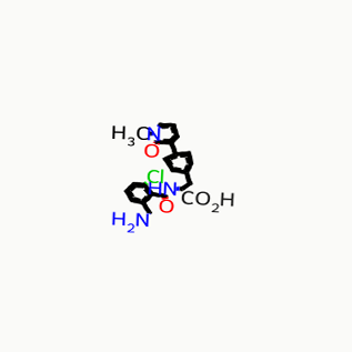 Cn1cccc(-c2ccc(CC(NC(=O)c3c(Cl)cccc3CN)C(=O)O)cc2)c1=O